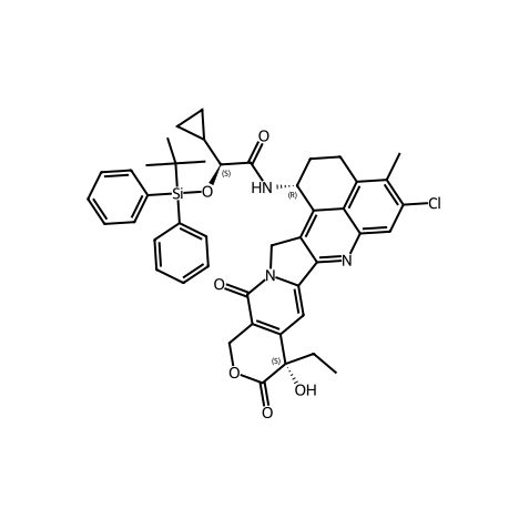 CC[C@@]1(O)C(=O)OCc2c1cc1n(c2=O)Cc2c-1nc1cc(Cl)c(C)c3c1c2[C@H](NC(=O)[C@@H](O[Si](c1ccccc1)(c1ccccc1)C(C)(C)C)C1CC1)CC3